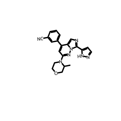 CC1COCCN1c1cc(-c2cccc(C#N)c2)c2cnc(-c3ccn[nH]3)n2n1